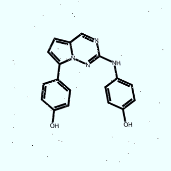 Oc1ccc(Nc2ncc3ccc(-c4ccc(O)cc4)n3n2)cc1